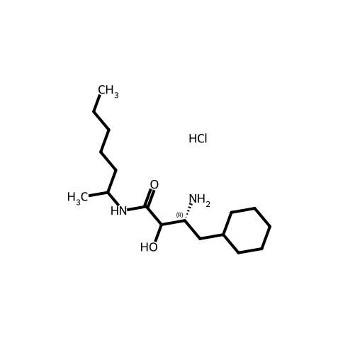 CCCCCC(C)NC(=O)C(O)[C@H](N)CC1CCCCC1.Cl